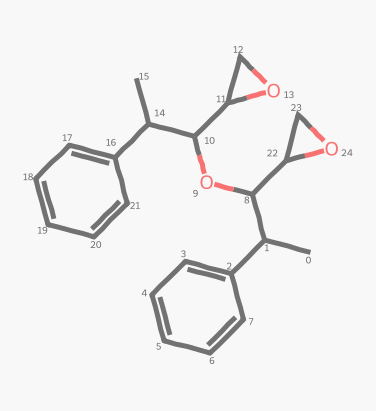 CC(c1ccccc1)C(OC(C1CO1)C(C)c1ccccc1)C1CO1